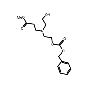 COC(=O)CCN(CCO)CCOC(=O)OCc1ccccc1